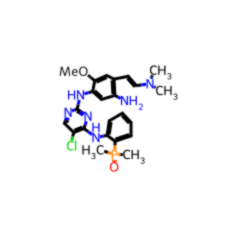 COc1cc(C=CN(C)C)c(N)cc1Nc1ncc(Cl)c(Nc2ccccc2P(C)(C)=O)n1